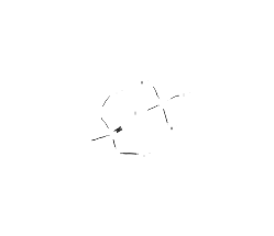 CCCOP(=O)([O-])OCCC.CCC[P+](CCC)(CCC)CCC